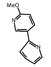 COc1ccc(-c2ccc[c]n2)cn1